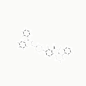 Cc1c(C(=O)N(Cc2ccccc2)C2CCCCC2)cccc1N1CCN(CCC(c2ccccc2)c2ccccc2)CC1